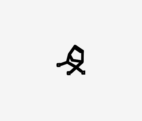 ClC1C2C=CC(C2)C1(Cl)Cl